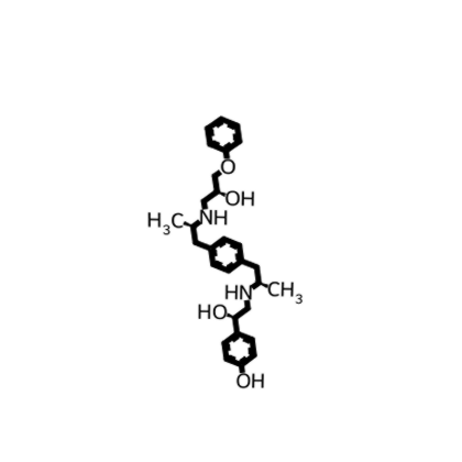 C[C@H](Cc1ccc(C[C@@H](C)NC[C@H](O)c2ccc(O)cc2)cc1)NC[C@H](O)COc1ccccc1